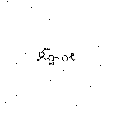 CCN(C(C)=O)[C@H]1CC[C@H](CCN2CCC(Cc3cc(OC)ccc3Br)CC2)CC1.Cl